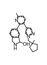 Cc1ccc(-c2cnn(CC3(C)CCCC3)c2)c(-c2ccc3c(c2)C(O)NC3)n1